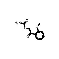 COc1ccccc1C(=O)COC(N)=O